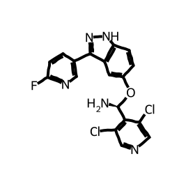 N[C@@H](Oc1ccc2[nH]nc(-c3ccc(F)nc3)c2c1)c1c(Cl)cncc1Cl